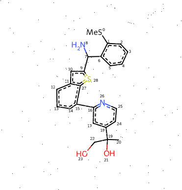 CSc1ccccc1C(N)c1cc2cccc(-c3cc(C(C)(O)CO)ccn3)c2s1